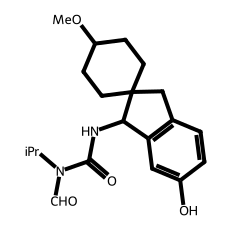 COC1CCC2(CC1)Cc1ccc(O)cc1C2NC(=O)N(C=O)C(C)C